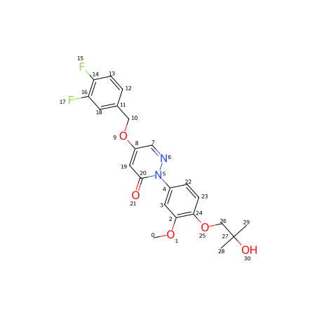 COc1cc(-n2ncc(OCc3ccc(F)c(F)c3)cc2=O)ccc1OCC(C)(C)O